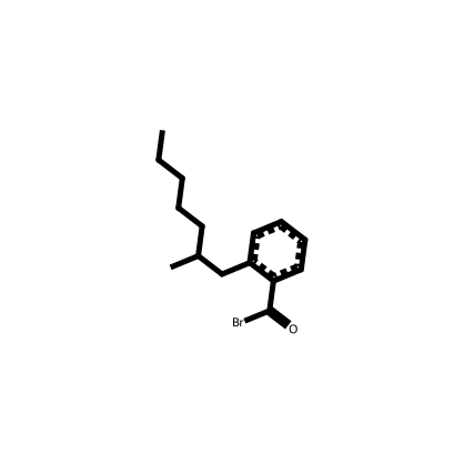 CCCCCC(C)Cc1ccccc1C(=O)Br